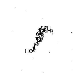 CC1(C)CN(S(=O)(=O)c2ccc(OCC#CCO)cc2)CCS1